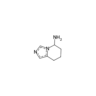 NC1CCCc2cncn21